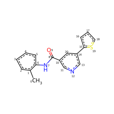 Cc1ccccc1NC(=O)c1cncc(-c2cccs2)c1